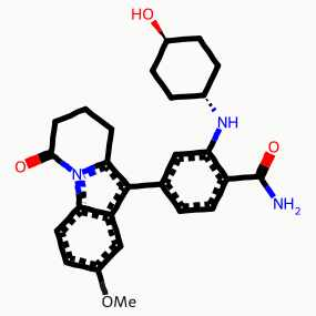 COc1ccc2c(c1)c(-c1ccc(C(N)=O)c(N[C@H]3CC[C@H](O)CC3)c1)c1n2C(=O)CCC1